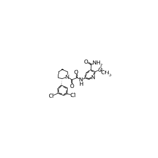 COc1ncc(NC(=O)C(=O)N2CCCC[C@H]2c2cc(Cl)cc(Cl)c2)cc1C(N)=O